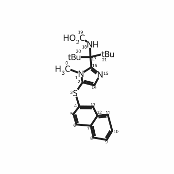 Cn1c(Sc2ccc3ccccc3c2)cnc1C(NC(=O)O)(C(C)(C)C)C(C)(C)C